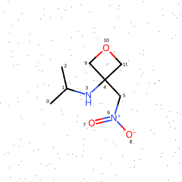 CC(C)NC1(C[N+](=O)[O-])COC1